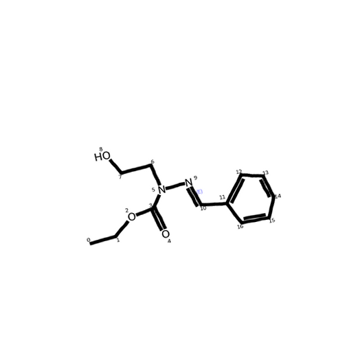 CCOC(=O)N(CCO)/N=C/c1ccccc1